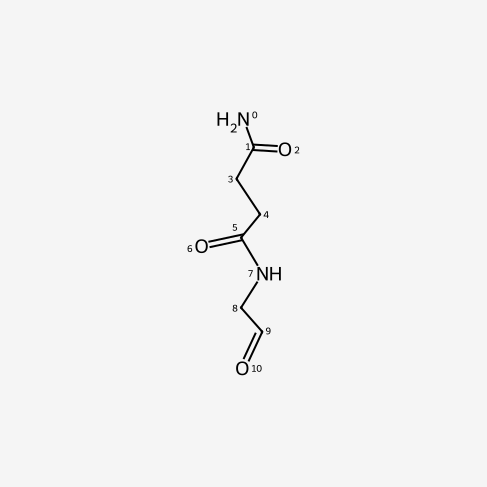 NC(=O)CCC(=O)NCC=O